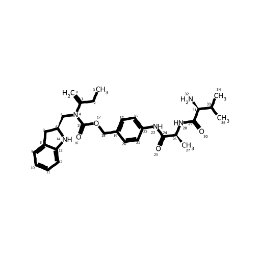 C=C(CC)N(C[C@@H]1Cc2ccccc2N1)C(=O)OCc1ccc(NC(=O)[C@H](C)NC(=O)[C@@H](N)C(C)C)cc1